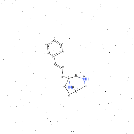 C(=Cc1ccccc1)CC12CCC(CNC1)N2